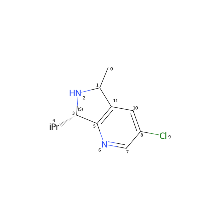 CC1N[C@@H](C(C)C)c2ncc(Cl)cc21